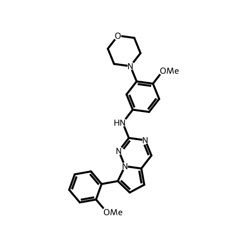 COc1ccccc1-c1ccc2cnc(Nc3ccc(OC)c(N4CCOCC4)c3)nn12